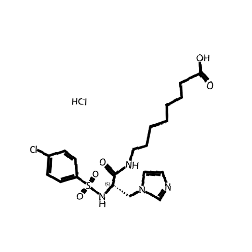 Cl.O=C(O)CCCCCCCNC(=O)[C@H](Cn1ccnc1)NS(=O)(=O)c1ccc(Cl)cc1